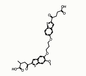 COc1cc2sc(C(=O)CC(C)C(=O)O)cc2cc1OCCCOc1ccc2sc(C(=O)CCC(=O)O)cc2c1